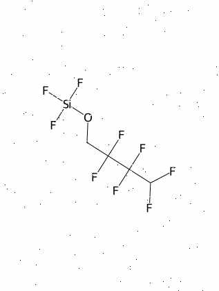 FC(F)C(F)(F)C(F)(F)CO[Si](F)(F)F